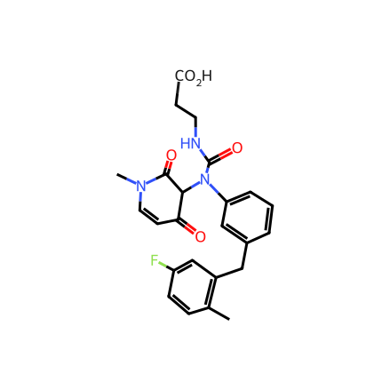 Cc1ccc(F)cc1Cc1cccc(N(C(=O)NCCC(=O)O)C2C(=O)C=CN(C)C2=O)c1